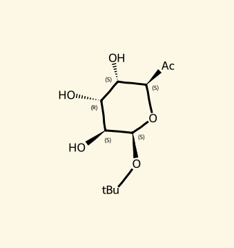 CC(=O)[C@H]1O[C@@H](OC(C)(C)C)[C@@H](O)[C@H](O)[C@@H]1O